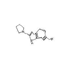 Brc1cc2[nH]c(CN3CCCC3)cc2cn1